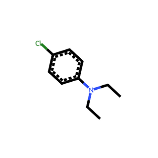 CCN(CC)c1ccc(Cl)cc1